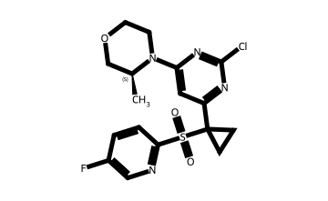 C[C@H]1COCCN1c1cc(C2(S(=O)(=O)c3ccc(F)cn3)CC2)nc(Cl)n1